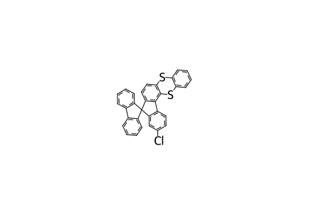 Clc1ccc2c(c1)C1(c3ccccc3-c3ccccc31)c1ccc3c(c1-2)Sc1ccccc1S3